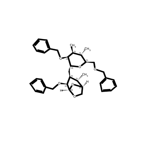 C[C@H]1[C@H](C)[C@@H](COCc2ccccc2)O[C@H](C[C@H]2[C@H](C)[C@H]3CO[C@H](O3)[C@H]2OCc2ccccc2)[C@H]1OCc1ccccc1